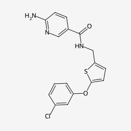 Nc1ccc(C(=O)NCc2ccc(Oc3cccc(Cl)c3)s2)cn1